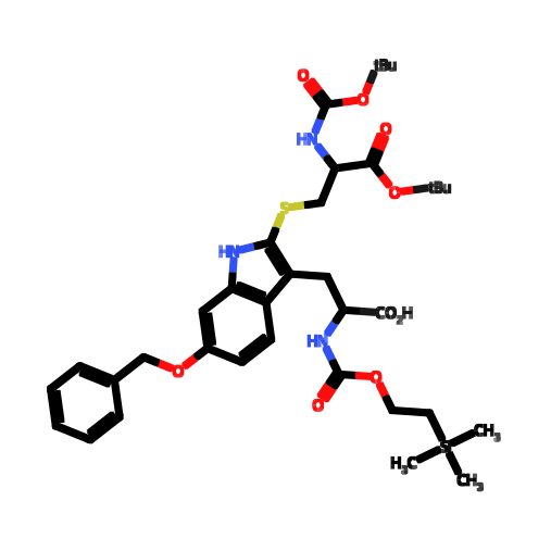 CC(C)(C)OC(=O)NC(CSc1[nH]c2cc(OCc3ccccc3)ccc2c1CC(NC(=O)OCC[Si](C)(C)C)C(=O)O)C(=O)OC(C)(C)C